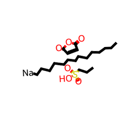 CCCCCCCCCCCCC[CH2][Na].CCCS(=O)(=O)O.O=C1C=CC(=O)O1